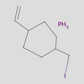 C=CC1CCC(CI)CC1.P